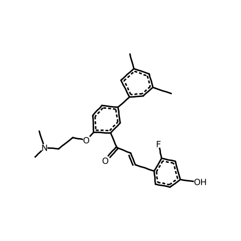 Cc1cc(C)cc(-c2ccc(OCCN(C)C)c(C(=O)C=Cc3ccc(O)cc3F)c2)c1